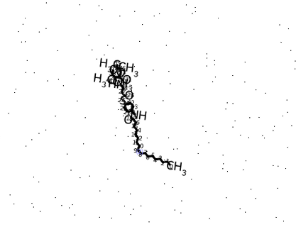 CCCCCCCC/C=C\CCCCCCCC(=O)Nc1ccc(SC(=O)CCNC(=O)C2OC(C)(C)OCC2(C)C)cc1